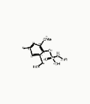 CCCNP(=O)(O)Oc1c(CO)cc(C)cc1OC